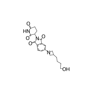 O=C1CCC(N2C(=O)c3ccc(N4CC(CCCCO)C4)cc3C2=O)C(=O)N1